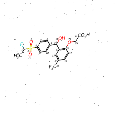 CC(F)S(=O)(=O)c1ccc(C(O)c2cc(C(F)(F)F)ccc2OCC(=O)O)cc1